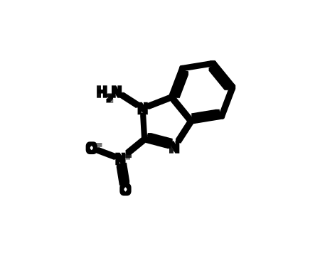 Nn1c([N+](=O)[O-])nc2ccccc21